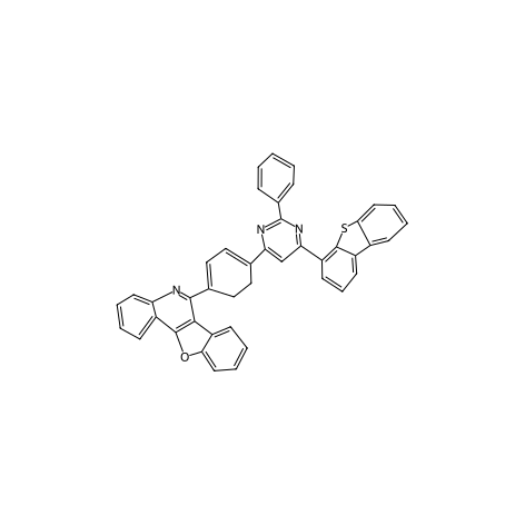 C1=C(c2cc(-c3cccc4c3sc3ccccc34)nc(-c3ccccc3)n2)CCC(c2nc3ccccc3c3oc4ccccc4c23)=C1